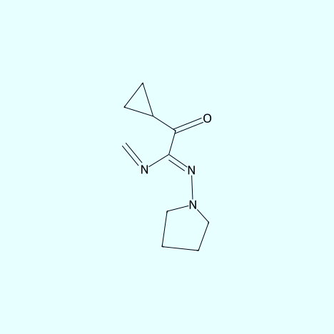 C=N/C(=N\N1CCCC1)C(=O)C1CC1